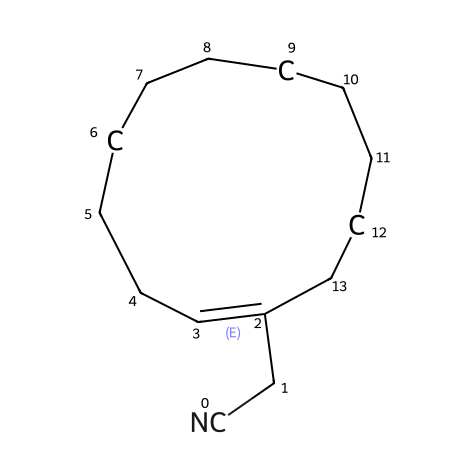 N#CC/C1=C/CCCCCCCCCC1